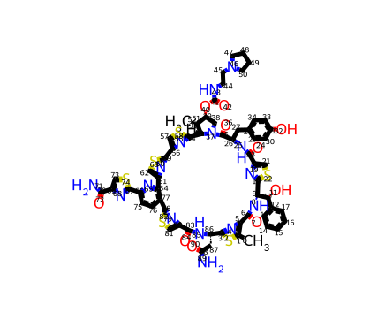 Cc1sc2nc1C(=O)N[C@@H]([C@H](O)c1ccccc1)c1nc(cs1)C(=O)NC(Cc1ccc(O)cc1)C(=O)N1C[C@H](OC(=O)NCCN3CCCC3)[C@H](C)[C@H]1c1nc(cs1)-c1nc(cs1)-c1nc(-c3nc(C(N)=O)cs3)ccc1-c1nc(cs1)C(=O)N[C@H]2CC(N)=O